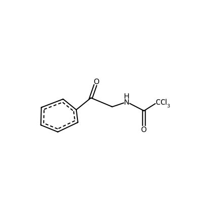 O=C(CNC(=O)C(Cl)(Cl)Cl)c1ccccc1